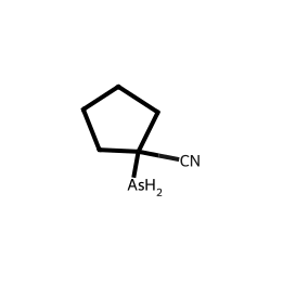 N#CC1([AsH2])CCCC1